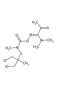 CC(=S)C(=NOC(=O)N(C)SC(C)(CCl)CCl)N(C)C